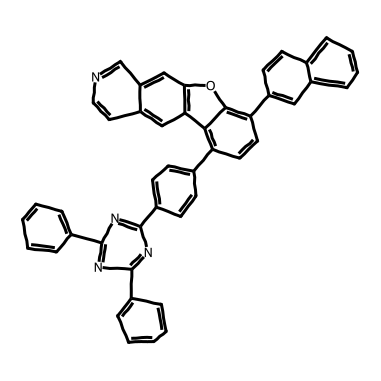 c1ccc(-c2nc(-c3ccccc3)nc(-c3ccc(-c4ccc(-c5ccc6ccccc6c5)c5oc6cc7cnccc7cc6c45)cc3)n2)cc1